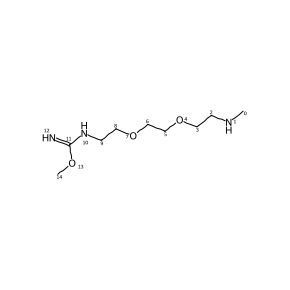 CNCCOCCOCCNC(=N)OC